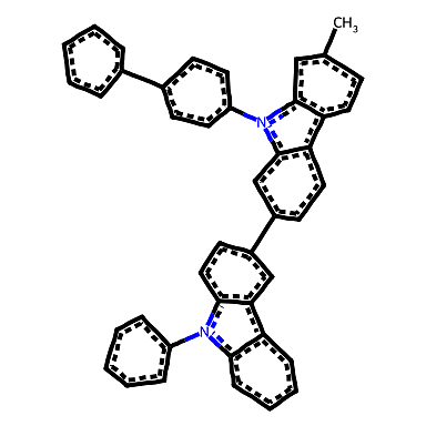 Cc1ccc2c3ccc(-c4ccc5c(c4)c4ccccc4n5-c4ccccc4)cc3n(-c3ccc(-c4ccccc4)cc3)c2c1